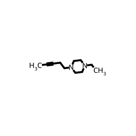 CC#CCCN1CCN(CC)CC1